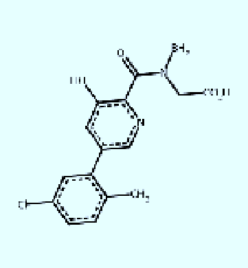 BN(CC(=O)O)C(=O)c1ncc(-c2cc(Cl)ccc2C)cc1O